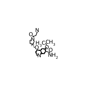 CC(C)Oc1cc2c(OC[C@@H]3CCN(C(=O)CC#N)C3)ccnc2cc1C(N)=O